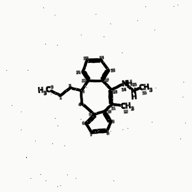 CCCC1Cc2ccccc2/C(C)=C(/NNC)c2ccccc21